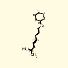 C[C@@H](O)C/C=C/CCCOC1CCCCO1